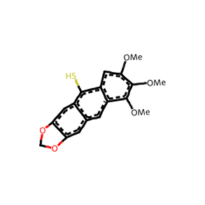 COc1cc2c(S)c3cc4c(cc3cc2c(OC)c1OC)OCO4